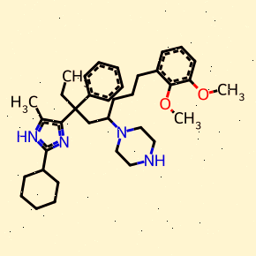 CCC(CC(CCCc1cccc(OC)c1OC)N1CCNCC1)(c1ccccc1)c1nc(C2CCCCC2)[nH]c1C